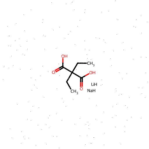 CCC(CC)(C(=O)O)C(=O)O.[LiH].[NaH]